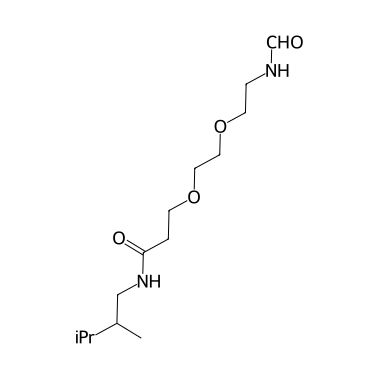 CC(C)C(C)CNC(=O)CCOCCOCCNC=O